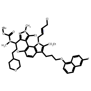 CCOC(=O)c1c(CCCOc2cccc3cc(F)ccc23)c2ccc(Cl)c(-c3c(C(CCC4CCOCC4)N(C)C(=O)OC(C)(C)C)nn(C)c3CC)c2n1C/C=C/CCl